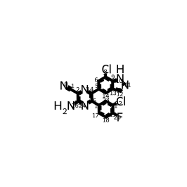 N#Cc1nc(-c2cc(Cl)c3[nH]ncc3c2)c(-c2ccc(F)c(Cl)c2)nc1N